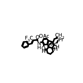 C=CC[N+]1(CC(C)C)CC[C@]23c4c5c(OC(C)=O)cc(NC(=O)C(=Cc6ccccc6)C(F)(F)F)c4O[C@H]2CCC[C@H]3[C@H]1C5